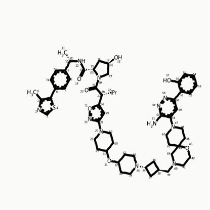 Cc1ncsc1-c1ccc([C@H](C)NC(=O)[C@@H]2C[C@@H](O)CN2C(=O)[C@@H](c2cc(N3CCC(OC4CCN([C@H]5C[C@H](CN6CCOC7(CCN(c8cc(-c9ccccc9O)nnc8N)CC7)C6)C5)CC4)CC3)no2)C(C)C)cc1